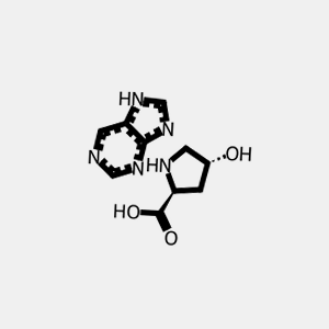 O=C(O)[C@@H]1C[C@@H](O)CN1.c1ncc2[nH]cnc2n1